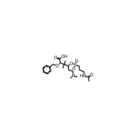 CC(=O)NCCCS(=O)(=O)OC(CCN(C)C)C(C)(C)[C@@H](OCc1ccccc1)C(=O)O